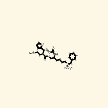 COCCN(Cc1cccs1)C(=O)OCC(CCCCN(Cc1ccccc1)C(=O)O)NC(=O)OC(C)(C)C